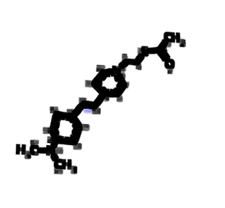 CC(=O)SCC[n+]1ccc(/C=C/c2ccc(N(C)C)cc2)cc1